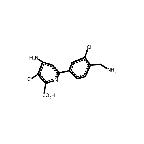 NCc1ccc(-c2cc(N)c(Cl)c(C(=O)O)n2)cc1Cl